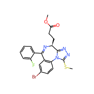 COC(=O)CC[C@@H]1N=C(c2ccccc2F)c2cc(Br)ccc2-n2c(SC)nnc21